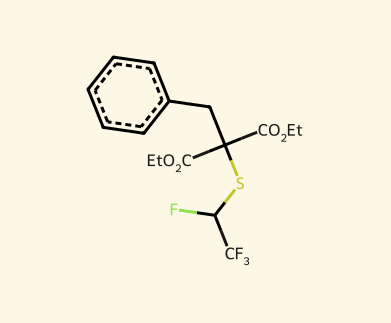 CCOC(=O)C(Cc1ccccc1)(SC(F)C(F)(F)F)C(=O)OCC